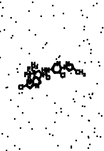 Cc1cnn(-c2ncc(NC(=O)N3C[C@@](C)(C(F)(F)F)c4c3cnc3cc(Cl)nn43)cc2Cl)c1